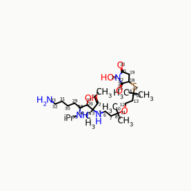 CC=CC(C)(NCCC(C)(C)OCCC(C)(C)SC1CC(=O)N(O)C1=O)C(O)C(CCCCN)NC(C)C